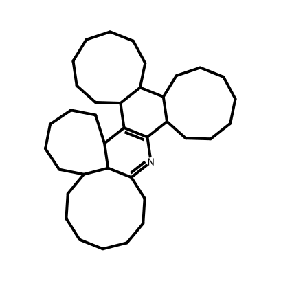 C1CCCC2=NC3=C(C4CCCCCCCC4C4CCCCCCCC34)C3CCCCCC(CCC1)C23